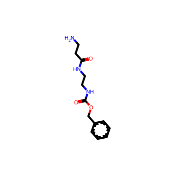 NCCC(=O)NCCNC(=O)OCc1ccccc1